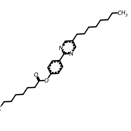 CCCCCCCCc1cnc(-c2ccc(OC(=O)CCCCCCC)cc2)nc1